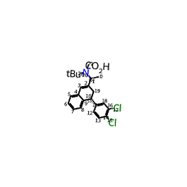 C[C@@H](C1=Cc2ccccc2[C@H](c2ccc(Cl)c(Cl)c2)C1)N(C(=O)O)C(C)(C)C